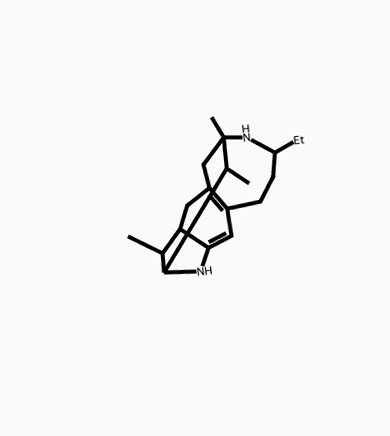 CCC1CCC2=C3CC4C(=C2)NC(C4C)C(C)C(C)(C3)N1